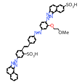 COCCOc1cc(N=Nc2ccc(C=Cc3ccc(-n4n5c6ccc7ccccc7c6n45)cc3S(=O)(=O)O)cc2)ccc1-n1n2c3ccc4cc(S(=O)(=O)O)ccc4c3n12